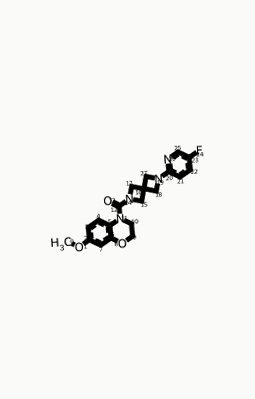 COc1ccc2c(c1)OCCN2C(=O)N1CC2(C1)CN(c1ccc(F)cn1)C2